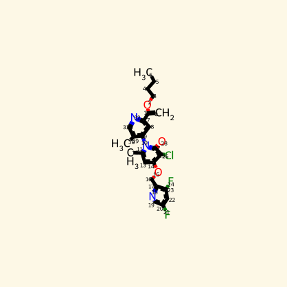 C=C(OCCCC)c1cc(-n2c(C)cc(OCc3ncc(F)cc3F)c(Cl)c2=O)c(C)cn1